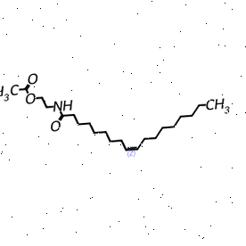 CCCCCCCC/C=C\CCCCCCCC(=O)NCCOC(C)=O